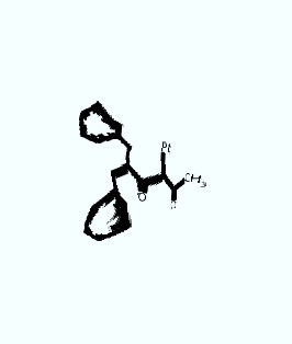 CC(=O)[CH]([Pt])C(=O)C(=Cc1ccccc1)Cc1ccccc1